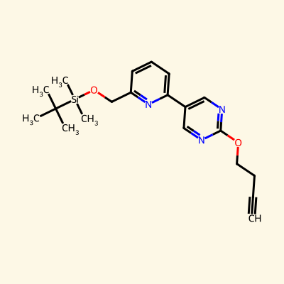 C#CCCOc1ncc(-c2cccc(CO[Si](C)(C)C(C)(C)C)n2)cn1